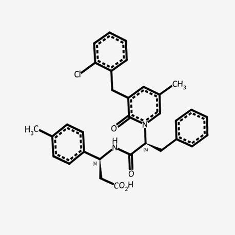 Cc1ccc([C@H](CC(=O)O)NC(=O)[C@H](Cc2ccccc2)n2cc(C)cc(Cc3ccccc3Cl)c2=O)cc1